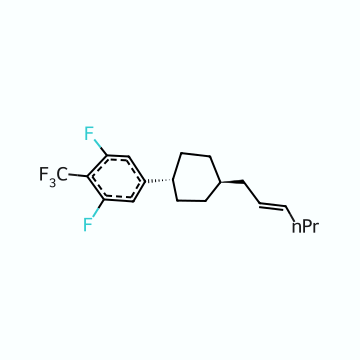 CCC/C=C/C[C@H]1CC[C@H](c2cc(F)c(C(F)(F)F)c(F)c2)CC1